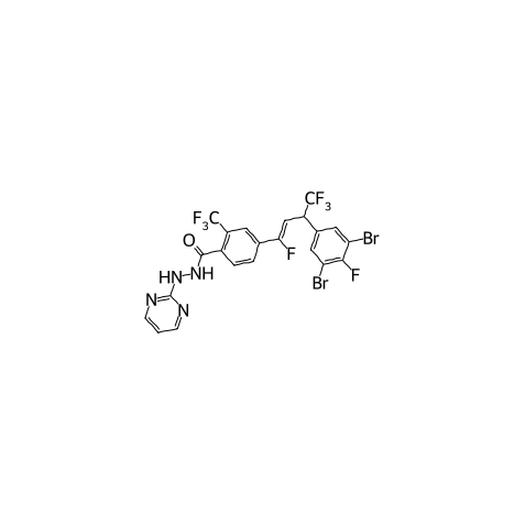 O=C(NNc1ncccn1)c1ccc(/C(F)=C/C(c2cc(Br)c(F)c(Br)c2)C(F)(F)F)cc1C(F)(F)F